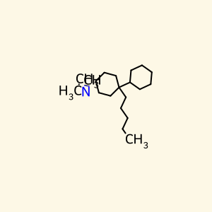 C#N.CC.CCCCCC1(C2CCCCC2)CCCCC1